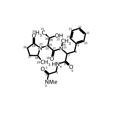 CNC(=O)CNC(=O)C(Cc1ccccc1)N(C)C(=O)[C@H]([C@@H](C)O)N1C(=O)CCC1C